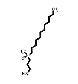 CCCCCCCCCCCC[N+](C)([O-])CCCC